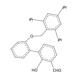 CC(C)c1cc(C(C)C)c(COc2ccccc2-c2cccc(C=O)c2O)c(C(C)C)c1